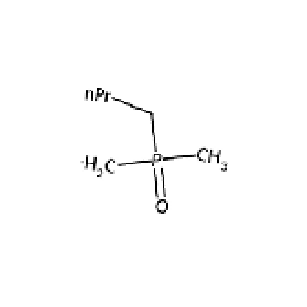 [CH2]P(C)(=O)CCCC